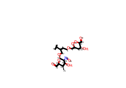 CC(C)C(CCOCC1C[C@@H](O)C(C=O)OO1)CO[C@@H]1OC(C=O)[C@H](C)C(O)[C@@H]1N=O